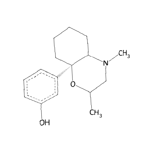 CC1CN(C)C2CCCC[C@]2(c2cccc(O)c2)O1